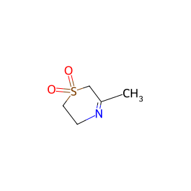 CC1=NCCS(=O)(=O)C1